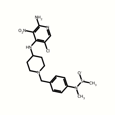 CN(c1ccc(CN2CCC(Nc3c(Cl)cnc(N)c3[N+](=O)[O-])CC2)cc1)[S+](C)[O-]